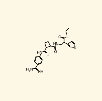 CCOC(=O)C(CNC(=O)C1CCC1C(=O)Nc1ccc(C(=N)N)cc1)c1ccsc1